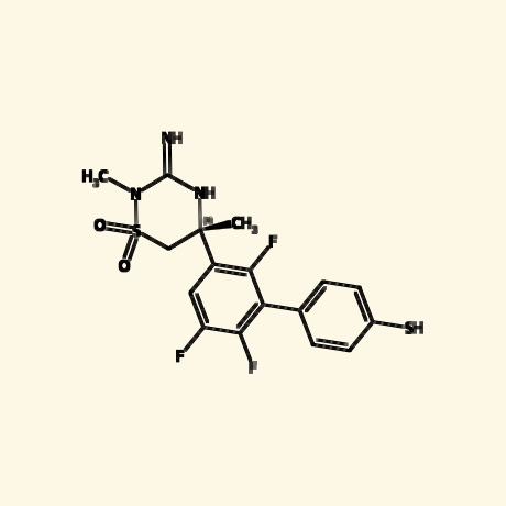 CN1C(=N)N[C@](C)(c2cc(F)c(F)c(-c3ccc(S)cc3)c2F)CS1(=O)=O